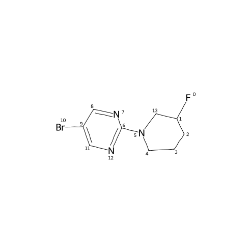 FC1CCCN(c2ncc(Br)cn2)C1